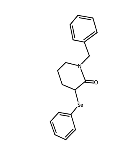 O=C1C([Se]c2ccccc2)CCCN1Cc1ccccc1